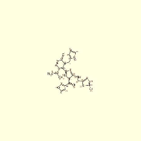 CN(C)c1ccc(=O)n(Cc2cncs2)c1-c1cc(NCc2ccc(Cl)s2)n(C(=O)c2ccoc2)n1